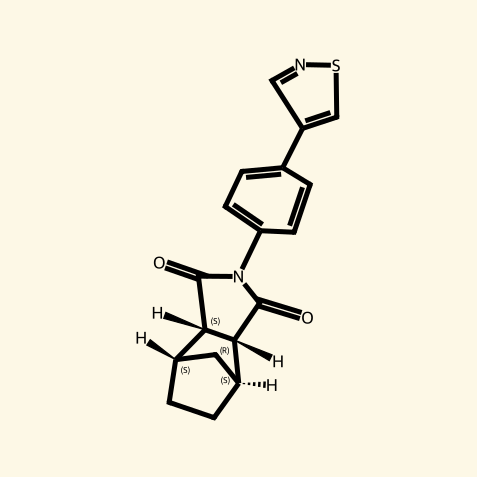 O=C1[C@@H]2[C@H]3CC[C@@H](C3)[C@@H]2C(=O)N1c1ccc(-c2cnsc2)cc1